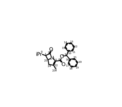 CC(C)C1C(=O)N2C(C(=O)OC(c3ccccc3)c3ccccc3)=C(I)CC12